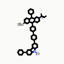 C/C=C(\C)c1ccc2c(-c3ccc(-c4ccc(-c5ccc6c(c5)c5cc(-c7ccccc7)ccc5n6CC)cc4)cc3)c3cc(C(C)(C)C)ccc3c(-c3ccccc3)c2c1